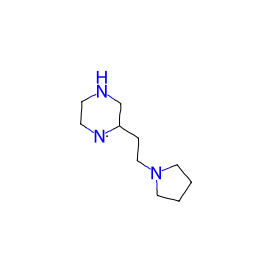 C1CCN(CCC2CNCC[N]2)C1